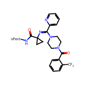 CCCCCNC(=O)C1(N=C(c2ccccn2)N2CCN(C(=O)c3ccccc3C(F)(F)F)CC2)CC1